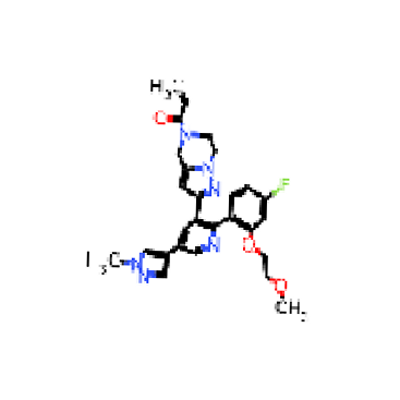 C=CC(=O)N1CCn2nc(-c3cc(-c4cnn(C)c4)cnc3-c3ccc(F)cc3OCCOC)cc2C1